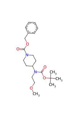 COCCN(C(=O)OC(C)(C)C)C1CCN(C(=O)OCc2ccccc2)CC1